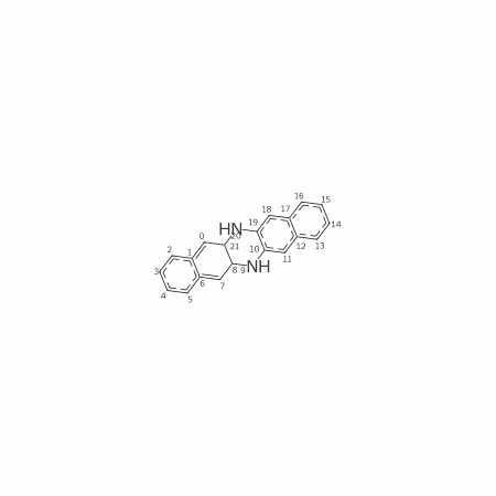 C1=c2ccccc2=CC2Nc3cc4ccccc4cc3NC12